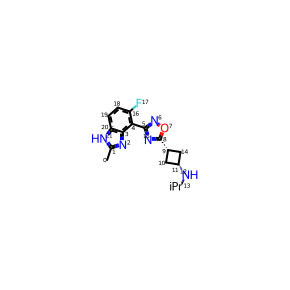 Cc1nc2c(-c3noc([C@H]4C[C@@H](NC(C)C)C4)n3)c(F)ccc2[nH]1